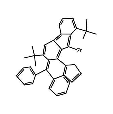 CC(C)(C)c1cc2c(c(C3=CC=CC3)c1=C(c1ccccc1)c1ccccc1)[C]([Zr])=c1c(C(C)(C)C)cccc1=2